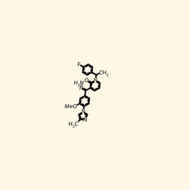 COc1cc(C(=NN)c2cccn(C(C)c3ccc(F)cc3)c2=O)ccc1-n1cnc(C)c1